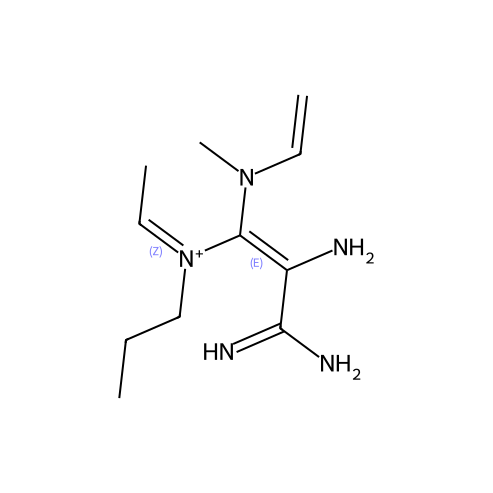 C=CN(C)C(=C(\N)C(=N)N)/[N+](=C\C)CCC